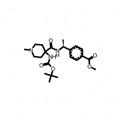 COC(=O)c1ccc([C@H](C)NC(=O)C2(NC(=O)OC(C)(C)C)CCN(C)CC2)cc1